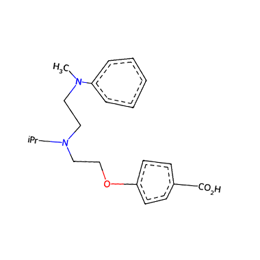 CC(C)N(CCOc1ccc(C(=O)O)cc1)CCN(C)c1ccccc1